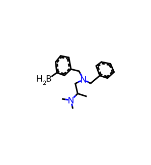 Bc1cccc(CN(Cc2ccccc2)CC(C)N(C)C)c1